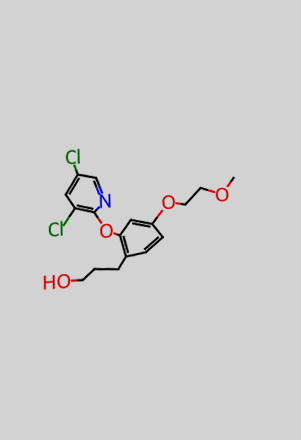 COCCOc1ccc(CCCO)c(Oc2ncc(Cl)cc2Cl)c1